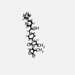 CC1=C(N2C(=O)N(C3CCN(C[C@@H](O)c4ccc(-n5cnnn5)nc4)CC3)CC2C)COC1=O